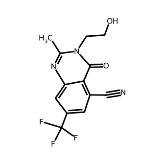 Cc1nc2cc(C(F)(F)F)cc(C#N)c2c(=O)n1CCO